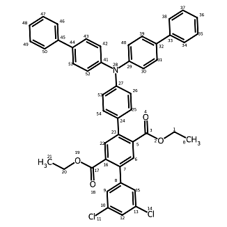 CCOC(=O)c1cc(-c2cc(Cl)cc(Cl)c2)c(C(=O)OCC)cc1-c1ccc(N(c2ccc(-c3ccccc3)cc2)c2ccc(-c3ccccc3)cc2)cc1